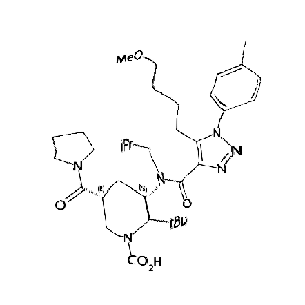 COCCCCc1c(C(=O)N(CC(C)C)[C@H]2C[C@@H](C(=O)N3CCCC3)CN(C(=O)O)C2C(C)(C)C)nnn1-c1ccc(C)cc1